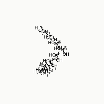 CP.CP.CP.CP.CP.CP.CP.CP.OB(O)F.OB(O)F.OB(O)F.OB(O)F